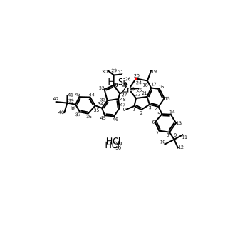 CC1=Cc2c(-c3ccc(C(C)(C)C)cc3)ccc(C(C)C)c2[CH]1[Zr]([CH3])([CH3])(=[SiH2])[CH]1C(C(C)C)=Cc2c(-c3ccc(C(C)(C)C)cc3)cccc21.Cl.Cl